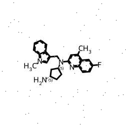 Cc1cc(N(Cc2cn(C)c3ccccc23)[C@H]2CC[C@H](N)C2)nc2ccc(F)cc12